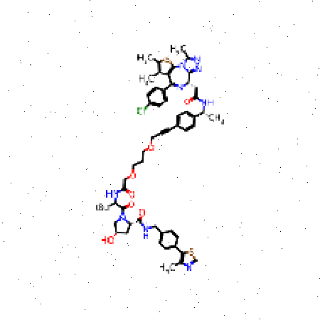 Cc1ncsc1-c1ccc(CNC(=O)[C@@H]2C[C@@H](O)CN2C(=O)C(NC(=O)COCCCOCC#Cc2ccc([C@@H](C)NC(=O)C[C@@H]3N=C(c4ccc(Cl)cc4)c4c(sc(C)c4C)-n4c(C)nnc43)cc2)C(C)(C)C)cc1